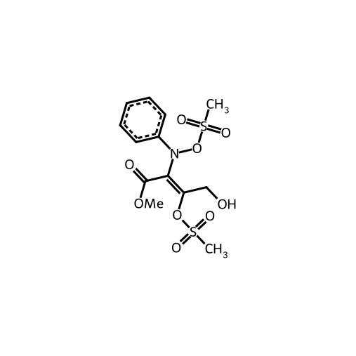 COC(=O)/C(=C(/CO)OS(C)(=O)=O)N(OS(C)(=O)=O)c1ccccc1